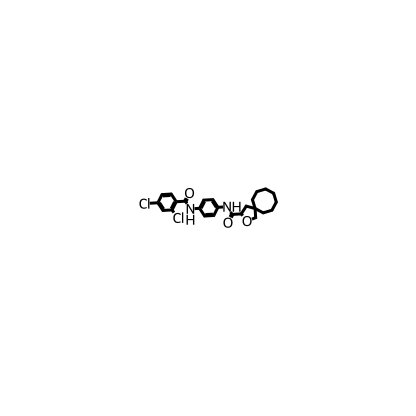 O=C(Nc1ccc(NC(=O)C2CC3(CCCCCCC3)CO2)cc1)c1ccc(Cl)cc1Cl